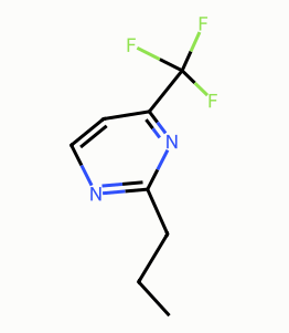 CCCc1nccc(C(F)(F)F)n1